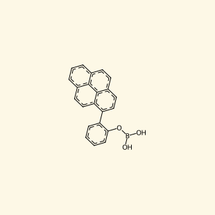 OB(O)Oc1ccccc1-c1ccc2ccc3cccc4ccc1c2c34